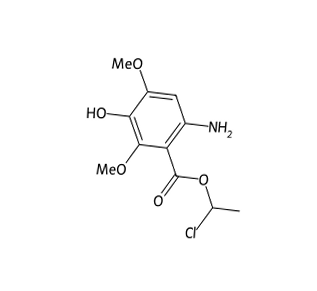 COc1cc(N)c(C(=O)OC(C)Cl)c(OC)c1O